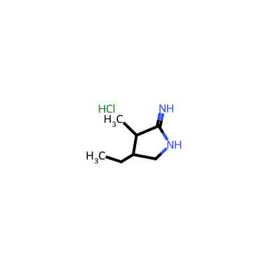 CCC1CNC(=N)C1C.Cl